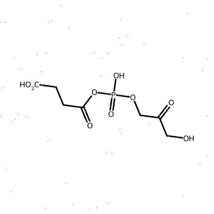 O=C(O)CCC(=O)OP(=O)(O)OCC(=O)CO